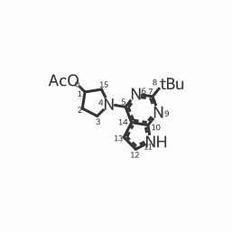 CC(=O)OC1CCN(c2nc(C(C)(C)C)nc3[nH]ccc23)C1